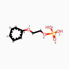 O=P(O)(O)OCCOc1ccccc1